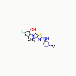 Cc1cc(F)cc(O)c1-n1cc2sc(N[C@@H]3CCCN(C4CC4)C3)nc2n1